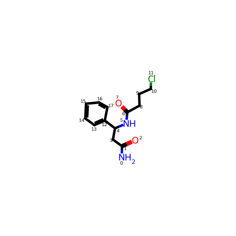 NC(=O)CC(NC(=O)CCCCl)c1ccccc1